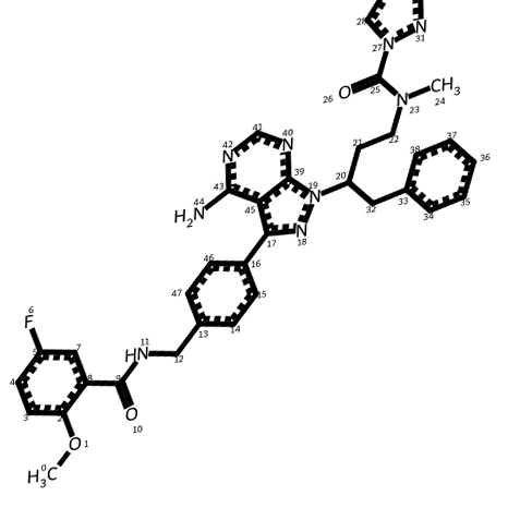 COc1ccc(F)cc1C(=O)NCc1ccc(-c2nn(C(CCN(C)C(=O)n3cncn3)Cc3ccccc3)c3ncnc(N)c23)cc1